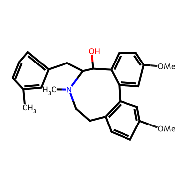 COc1ccc2c(c1)-c1cc(OC)ccc1C(O)C(Cc1cccc(C)c1)N(C)CC2